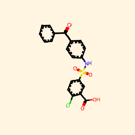 O=C(c1ccccc1)c1ccc(NS(=O)(=O)c2ccc(Cl)c(C(=O)O)c2)cc1